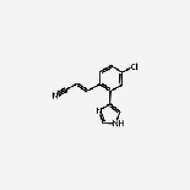 N#CC=Cc1ccc(Cl)cc1-c1c[nH]cn1